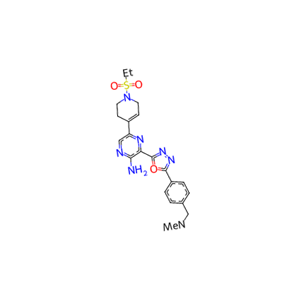 CCS(=O)(=O)N1CC=C(c2cnc(N)c(-c3nnc(-c4ccc(CNC)cc4)o3)n2)CC1